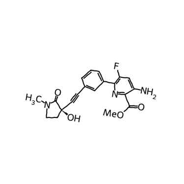 COC(=O)c1nc(-c2cccc(C#C[C@]3(O)CCN(C)C3=O)c2)c(F)cc1N